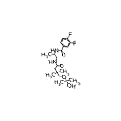 CC(CNC(=O)CC(C)(C)COC(C)(C)O)NC(=O)c1ccc(F)c(F)c1